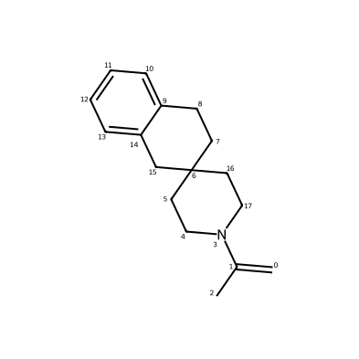 C=C(C)N1CCC2(CCc3ccccc3C2)CC1